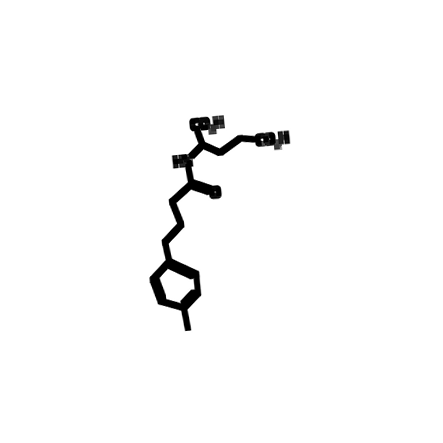 Cc1ccc(CCCC(=O)NC(CCC(=O)O)C(=O)O)cc1